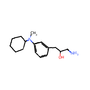 CN(c1cccc(CC(O)CN)c1)C1CCCCC1